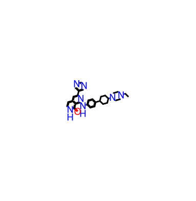 CCN1CCN(C2CCC(c3ccc(Nc4nc(-c5cncnc5)cc5cc[nH]c(=O)c45)cc3)CC2)CC1